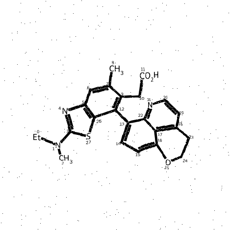 CCN(C)c1nc2cc(C)c(CC(=O)O)c(-c3ccc4c5c(ccnc35)CCO4)c2s1